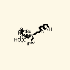 CC(C)OCCN(CCCCc1ccc2c(n1)NCCC2)CC[C@H](NC(=O)c1ncoc1C(C)(C)C)C(=O)O